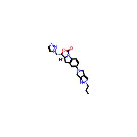 CCCn1cc2c(n1)CN(c1ccc3c(c1)C[C@H]1[C@H](Cn4ccnn4)OC(=O)N31)C2